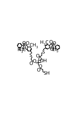 CCOP(=O)(C(=O)C1C(C)=CC(CSCCC(=O)OCC(CO)(COC(=O)CCS)COC(=O)CCSCC2=CC(C)C(C(=O)P(=O)(OCC)c3ccccc3)C(C)=C2)=CC1C)c1ccccc1